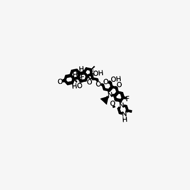 COc1c(N2CCNC(C)C2)c(F)cc2c(=O)c(C(=O)O)c(CCOCC(=O)[C@]3(O)[C@H](C)C[C@@H]4[C@H]5CCC6=CC(=O)C=C[C@@]6(C)[C@]5(F)[C@H](O)C[C@]43C)n(C3CC3)c12